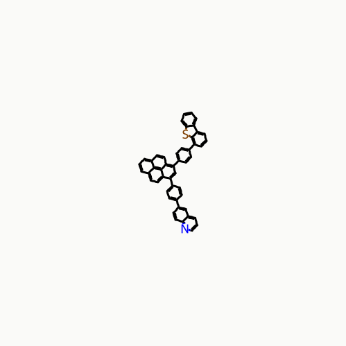 c1cnc2ccc(-c3ccc(-c4cc(-c5ccc(-c6cccc7c6sc6ccccc67)cc5)c5ccc6cccc7ccc4c5c76)cc3)cc2c1